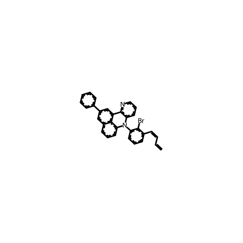 C=C/C=C\c1cccc(N2c3cccnc3-c3cc(-c4ccccc4)cc4cccc2c34)c1Br